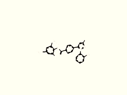 Cc1cc(C)c(NC(=O)c2ccc(-c3cc(C(F)(F)F)nn3-c3ccccc3Cl)cc2)c(Cl)c1